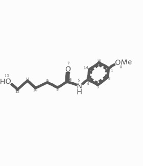 [CH2-][OH+]c1ccc(NC(=O)CCCCCO)cc1